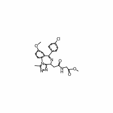 COC(=O)CNC(=O)CC1N=C(c2ccc(Cl)cc2)c2cc(OC)ccc2-n2c(C)nnc21